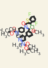 COc1ccc(-c2ccnc(N(C)C(=O)OC(C)(C)C)c2)cc1CN(C(=O)c1sc2c(F)ccc(F)c2c1Cl)[C@H]1CC[C@H](N(C)C(=O)OC(C)(C)C)CC1